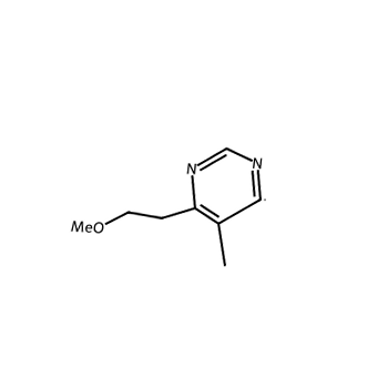 COCCc1ncn[c]c1C